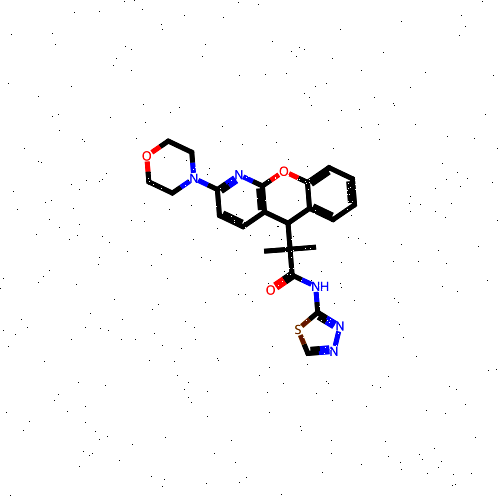 CC(C)(C(=O)Nc1nncs1)C1c2ccccc2Oc2nc(N3CCOCC3)ccc21